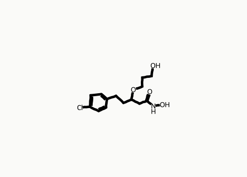 O=C(CC(CCc1ccc(Cl)cc1)OCCCO)NO